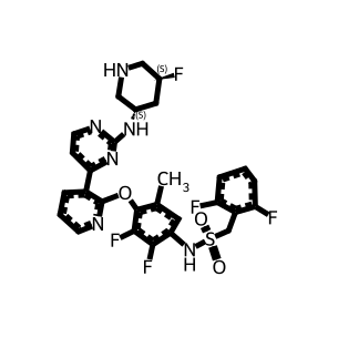 Cc1cc(NS(=O)(=O)Cc2c(F)cccc2F)c(F)c(F)c1Oc1ncccc1-c1ccnc(N[C@@H]2CNC[C@@H](F)C2)n1